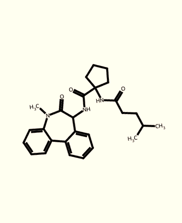 CC(C)CCC(=O)NC1(C(=O)NC2C(=O)N(C)c3ccccc3-c3ccccc32)CCCC1